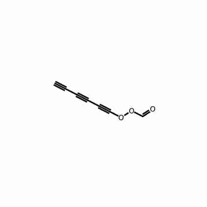 C#CC#CC#COOC=O